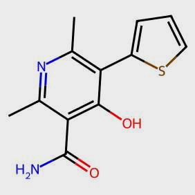 Cc1nc(C)c(-c2cccs2)c(O)c1C(N)=O